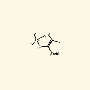 CC(C)=C(OCC(C)C)O[Si](C)(C)C